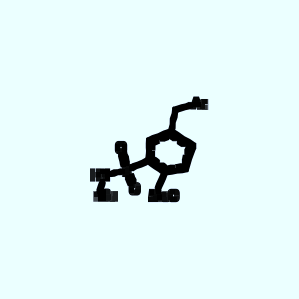 CCCCNS(=O)(=O)c1cc(CC(C)=O)ccc1OC